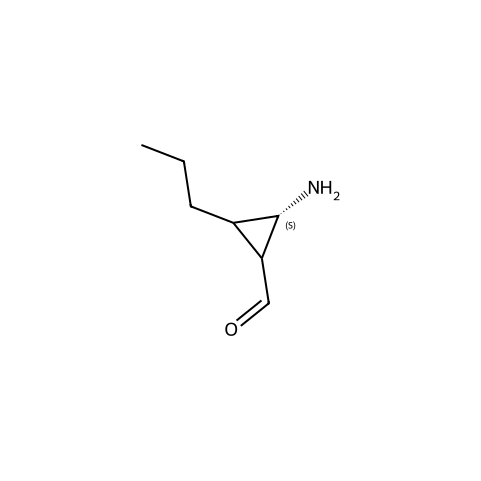 CCCC1C(C=O)[C@H]1N